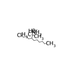 Br.CCCCCCC(CCCCl)C(C)(C)N